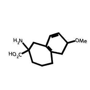 COC1C=CC2=C(CCCC(N)(C(=O)O)C2)C1